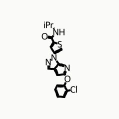 CC(C)NC(=O)c1cc(-n2ncc3cc(Oc4ccccc4Cl)ncc32)cs1